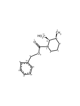 C[C@H]1CCCN(C(=O)OCc2ccccc2)[C@H]1C(=O)O